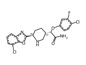 NC(=O)C(Oc1ccc(Cl)c(F)c1)[C@H]1CC[C@H](c2nc3cccc(Cl)c3o2)NC1